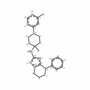 Cc1cc(N2CCC(C)(Nc3nc4n(n3)CCCC4c3ccccc3)CC2)ncn1